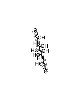 O=COCC(O)CNCC(O)C(O)C(O)C(O)CNCC(O)COC=O